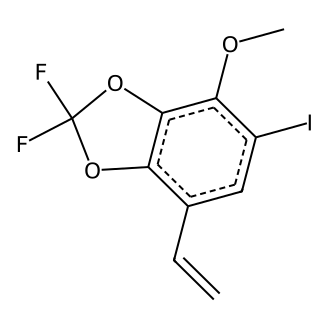 C=Cc1cc(I)c(OC)c2c1OC(F)(F)O2